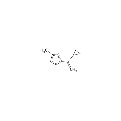 C=C(c1ccc(C)s1)C1CC1